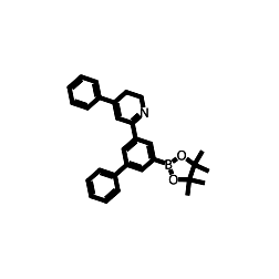 CC1(C)OB(c2cc(C3=NCCC(c4ccccc4)=C3)cc(-c3ccccc3)c2)OC1(C)C